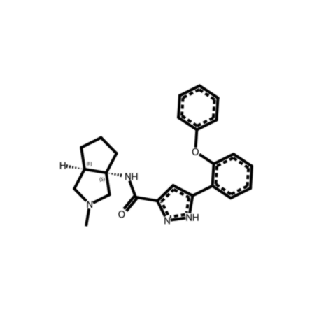 CN1C[C@H]2CCC[C@@]2(NC(=O)c2cc(-c3ccccc3Oc3ccccc3)[nH]n2)C1